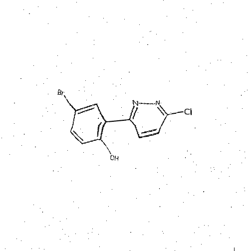 Oc1ccc(Br)cc1-c1ccc(Cl)nn1